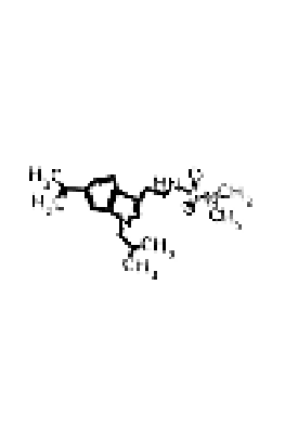 C=C(C)c1ccc2c(CCNS(=O)(=O)N(C)C)cn(CC(C)C)c2c1